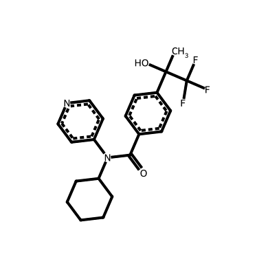 CC(O)(c1ccc(C(=O)N(c2ccncc2)C2CCCCC2)cc1)C(F)(F)F